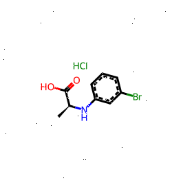 C[C@H](Nc1cccc(Br)c1)C(=O)O.Cl